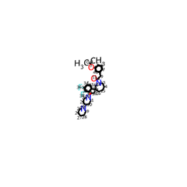 CC(C)Oc1cccc(CC(=O)N2CCCC[C@](CCN3CCC(N4CCCCC4)CC3)(c3ccc(F)c(F)c3)C2)c1